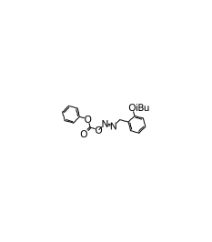 CC(C)COc1ccccc1CN=NOC(=O)Oc1ccccc1